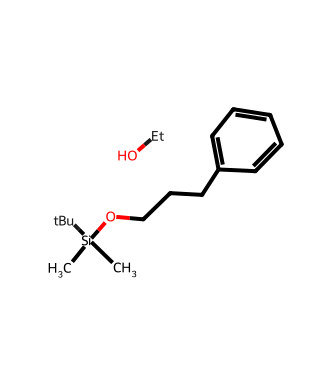 CC(C)(C)[Si](C)(C)OCCCc1ccccc1.CCO